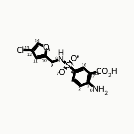 Nc1ccc(S(=O)(=O)NCc2cc(Cl)co2)cc1C(=O)O